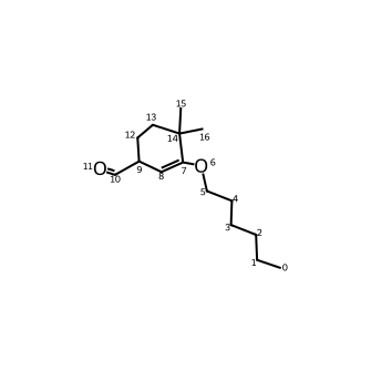 CCCCCCOC1=CC(C=O)CCC1(C)C